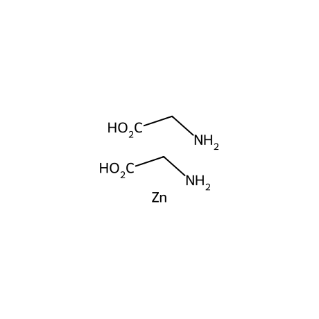 NCC(=O)O.NCC(=O)O.[Zn]